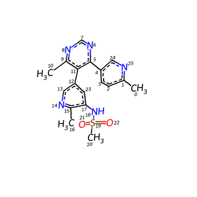 Cc1ccc(-c2ncnc(C)c2-c2cnc(C)c(NS(C)(=O)=O)c2)cn1